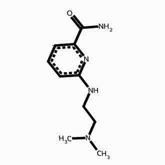 CN(C)CCNc1cc[c]c(C(N)=O)n1